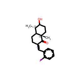 C[C@@H]1C(O)CC[C@]2(C)C(=O)/C(=C\c3ccccc3I)CCC12